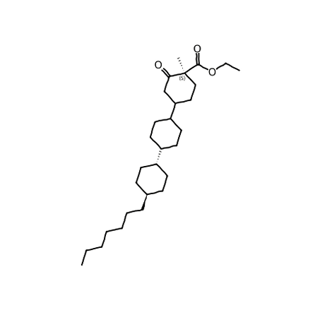 CCCCCCC[C@H]1CC[C@H](C2CCC(C3CC[C@](C)(C(=O)OCC)C(=O)C3)CC2)CC1